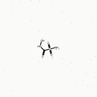 NS(=O)(=O)C(=O)NO